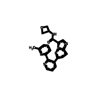 Cc1cccc(-c2ncccc2-c2ccc3ncc(C(=O)NC4COC4)n3n2)n1